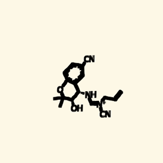 C=CC[N+](C#N)=CN[C@H]1c2cc(C#N)ccc2OC(C)(C)[C@@H]1O